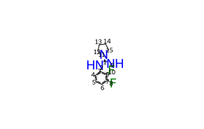 N=C(Nc1cccc(F)c1F)N1CCCC1